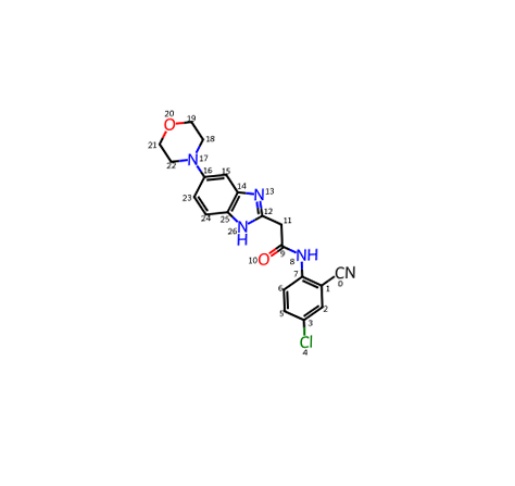 N#Cc1cc(Cl)ccc1NC(=O)Cc1nc2cc(N3CCOCC3)ccc2[nH]1